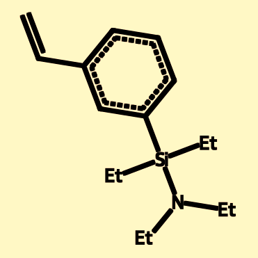 C=Cc1cccc([Si](CC)(CC)N(CC)CC)c1